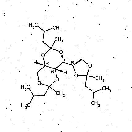 CC(C)CC1(C)OC[C@@H]2OC(C)(CC(C)C)O[C@H]([C@H]3COC(C)(CC(C)C)O3)[C@@H]2O1